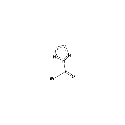 CC(C)C(=O)n1nccn1